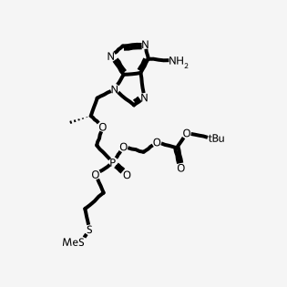 CSSCCOP(=O)(CO[C@H](C)Cn1cnc2c(N)ncnc21)OCOC(=O)OC(C)(C)C